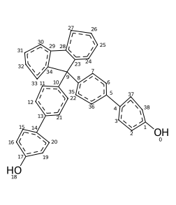 Oc1ccc(-c2ccc(C3(c4ccc(-c5ccc(O)cc5)cc4)c4ccccc4-c4ccccc43)cc2)cc1